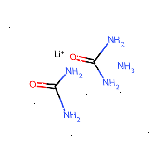 N.NC(N)=O.NC(N)=O.[Li+]